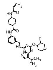 C=CC(=O)NC1CCC(C(=O)Nc2cccc(CNc3nc(OC4CCOCC4F)nc4c(C(C)C)cnn34)c2)CC1